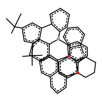 CC(C)(C)c1cc(-c2ccccc2N(c2ccccc2-c2cccc3cccc(C4CCCCC4)c23)c2ccccc2-c2cccc3oc4ccccc4c23)cc(C(C)(C)C)c1